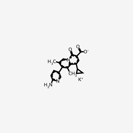 Cc1cn2c(=O)c(C(=O)[O-])cc(C3CC3)c2c(C)c1-c1ccc(N)nc1.[K+]